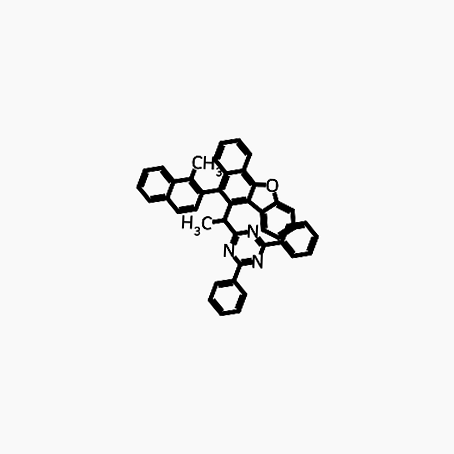 Cc1c(-c2c(C(C)c3nc(-c4ccccc4)nc(-c4ccccc4)n3)c3c4ccccc4oc3c3ccccc23)ccc2ccccc12